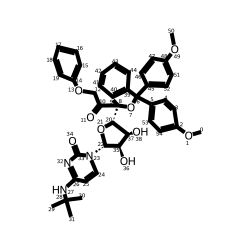 COc1ccc(C(OC(C)(C(=O)COc2ccccc2)[C@H]2O[C@@H](n3ccc(NC(C)(C)C)nc3=O)[C@H](O)[C@@H]2O)(c2ccccc2)c2ccc(OC)cc2)cc1